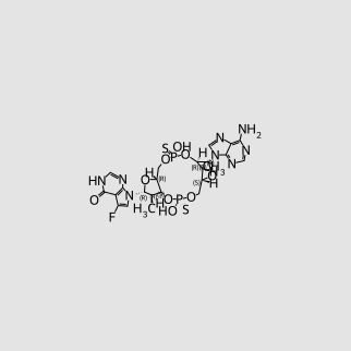 C[C@@H]1[C@@H]2OP(O)(=S)OC[C@H]3O[C@@H](n4cnc5c(N)ncnc54)[C@H](OP(O)(=S)OC[C@H]2O[C@H]1n1cc(F)c2c(=O)[nH]cnc21)[C@@H]3C